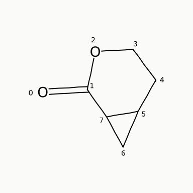 O=C1OCCC2CC12